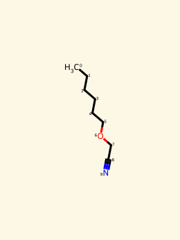 CCCCCCOCC#N